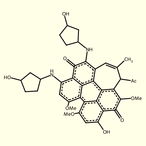 COc1c2c3c4c(c(NC5CCC(O)C5)c(=O)c5c(NC6CCC(O)C6)cc(OC)c(c6c(OC)cc(O)c(c1=O)c63)c54)C=C(C)C2C(C)=O